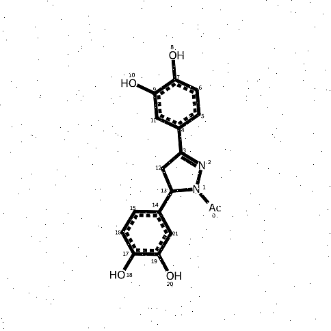 CC(=O)N1N=C(c2ccc(O)c(O)c2)CC1c1ccc(O)c(O)c1